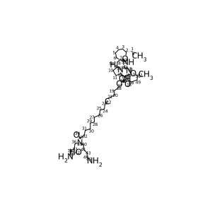 CC[C@H]1CCCC[C@@]2(C[C@@H]3CC[C@]4(O)[C@H](C(=O)OCCCCCCCCCCCCCCCC(=O)N(CCCN)C[C@@H](O)CCN)[C@]5(CCC[C@@H](C)O5)N=C(N2)N34)O1